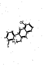 NCc1nc2cccc(Cl)c2nc1-c1cccc(F)c1